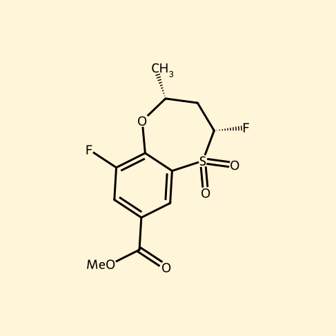 COC(=O)c1cc(F)c2c(c1)S(=O)(=O)[C@@H](F)C[C@@H](C)O2